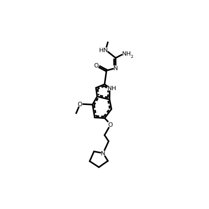 CNC(N)=NC(=O)c1cc2c(OC)cc(OCCN3CCCC3)cc2[nH]1